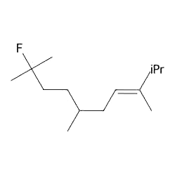 C/C(=C\CC(C)CCC(C)(C)F)C(C)C